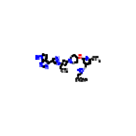 COCCNCc1cc(OC2CCN(C3CC(CC#N)(n4cc(-c5ncnc6[nH]ccc56)cn4)C3)CC2)nc(C(F)(F)F)c1